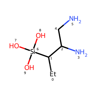 CCC(C(N)CN)[Si](O)(O)O